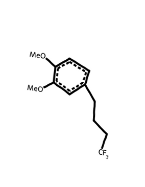 COc1ccc(CCCC(F)(F)F)cc1OC